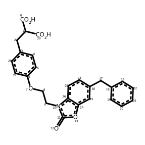 O=C(O)C(Cc1ccc(OCCn2c(=O)oc3cc(Cc4ccccc4)ccc32)cc1)C(=O)O